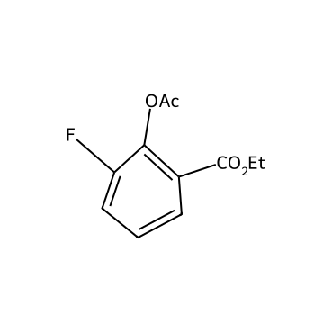 CCOC(=O)c1cccc(F)c1OC(C)=O